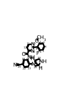 COc1cccc(F)c1-c1nccc(C(=O)Nc2cc(C#N)ccc2N2C[C@H]3C[C@@H]2CN3)n1